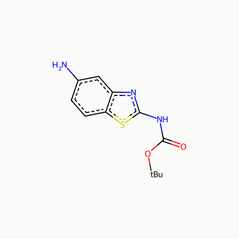 CC(C)(C)OC(=O)Nc1nc2cc(N)ccc2s1